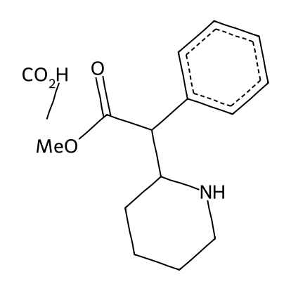 CC(=O)O.COC(=O)C(c1ccccc1)C1CCCCN1